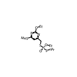 CCCSP(=O)(OCC)SCc1cc(SC)nc(OCC)n1